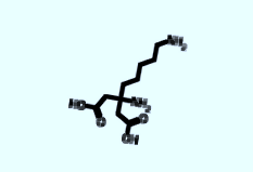 NCCCCCC(N)(CC(=O)O)CC(=O)O